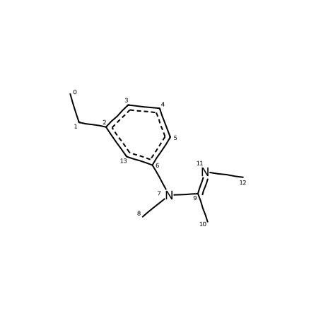 CCc1cccc(N(C)C(C)=NC)c1